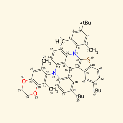 Cc1cc(C(C)(C)C)cc(C)c1N1c2cccc3c2B(c2cc(C(C)(C)C)ccc2N3c2c(C)cc3c(c2C)OCCO3)c2c1sc1ccc(C(C)(C)C)cc21